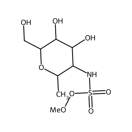 COOS(=O)(=O)NC1C(C)OC(CO)C(O)C1O